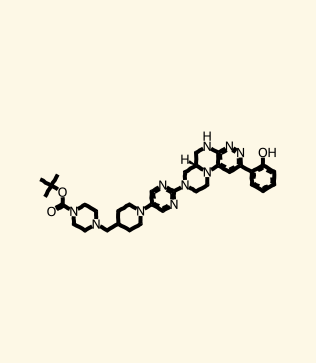 CC(C)(C)OC(=O)N1CCN(CC2CCN(c3cnc(N4CCN5c6cc(-c7ccccc7O)nnc6NC[C@H]5C4)nc3)CC2)CC1